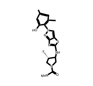 CNC(=O)N1CC(Nc2nc3nn(-c4c(C)cc(C)cc4O)cc3s2)[C@@H](F)C1